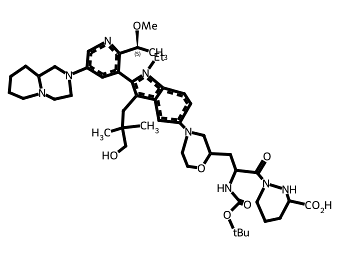 CCn1c(-c2cc(N3CCN4CCCCC4C3)cnc2[C@H](C)OC)c(CC(C)(C)CO)c2cc(N3CCOC(CC(NC(=O)OC(C)(C)C)C(=O)N4CCCC(C(=O)O)N4)C3)ccc21